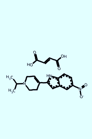 CC(C)N1CC=C(c2cc3cc([N+](=O)[O-])ccc3[nH]2)CC1.O=C(O)C=CC(=O)O